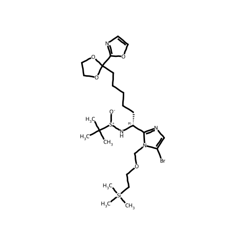 CC(C)(C)[S+]([O-])N[C@H](CCCCCC1(c2ncco2)OCCO1)c1ncc(Br)n1COCC[Si](C)(C)C